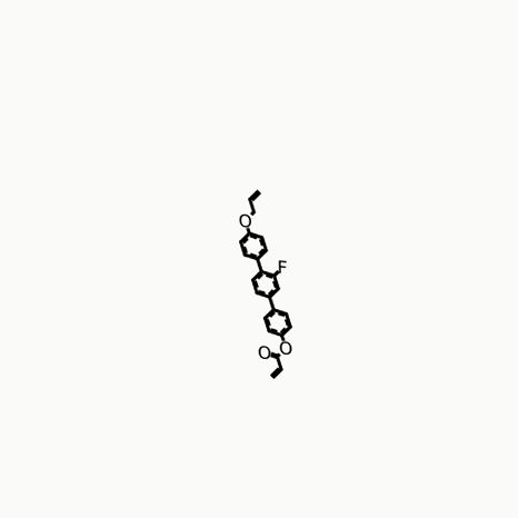 C=CCOc1ccc(-c2ccc(-c3ccc(OC(=O)C=C)cc3)cc2F)cc1